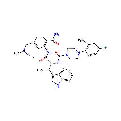 Cc1cc(F)ccc1N1CCN(C(=O)N[C@@H](C(=O)Nc2cc(CN(C)C)ccc2C(N)=O)[C@@H](C)c2c[nH]c3ccccc23)CC1